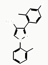 Cc1cc(F)ccc1-c1nn(-c2ccccc2C)cc1N